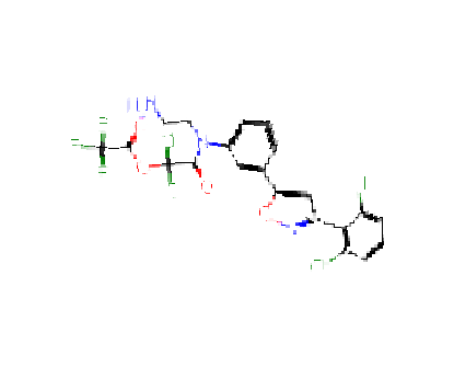 NCCN(C(=O)C(Cl)(Cl)OC(=O)C(F)(F)F)c1cccc(-c2cc(-c3c(Cl)cccc3Cl)no2)c1